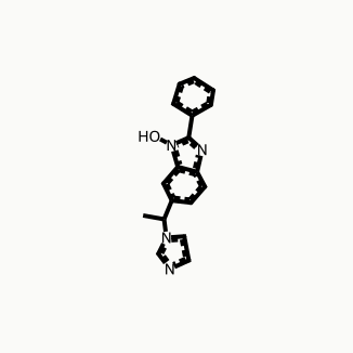 CC(c1ccc2nc(-c3ccccc3)n(O)c2c1)n1ccnc1